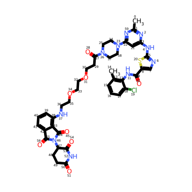 Cc1nc(Nc2ncc(C(=O)Nc3c(C)cccc3Cl)s2)cc(N2CCN(C(=O)CCOCCOCCNc3cccc4c3C(=O)N(C3CCC(=O)NC3=O)C4=O)CC2)n1